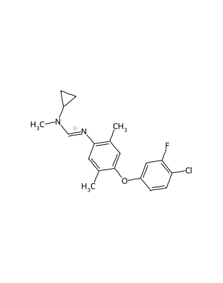 Cc1cc(Oc2ccc(Cl)c(F)c2)c(C)cc1/N=C/N(C)C1CC1